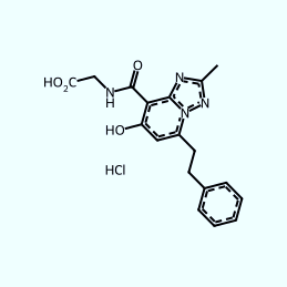 Cc1nc2c(C(=O)NCC(=O)O)c(O)cc(CCc3ccccc3)n2n1.Cl